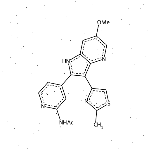 COc1cnc2c(-c3csc(C)n3)c(-c3ccnc(NC(C)=O)c3)[nH]c2c1